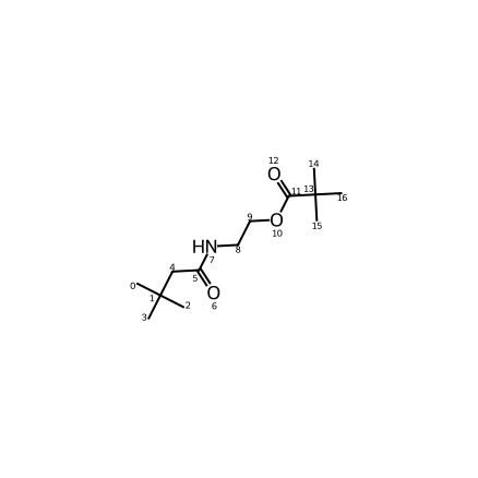 CC(C)(C)CC(=O)NCCOC(=O)C(C)(C)C